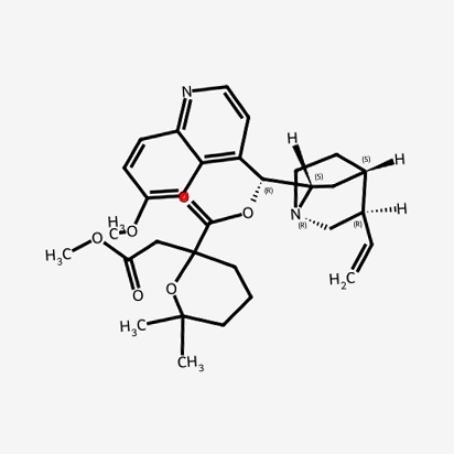 C=C[C@H]1C[N@]2CC[C@H]1C[C@H]2[C@H](OC(=O)C1(CC(=O)OC)CCCC(C)(C)O1)c1ccnc2ccc(OC)cc12